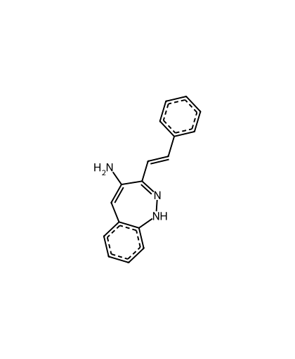 NC1=Cc2ccccc2NN=C1C=Cc1ccccc1